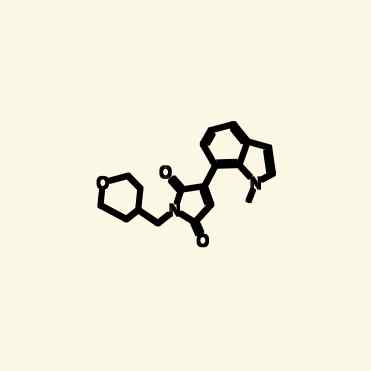 Cn1ccc2cccc(C3=CC(=O)N(CC4CCOCC4)C3=O)c21